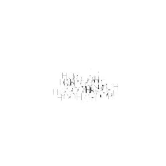 C[C@H](CC[C@@H](O[C@@H]1O[C@H](CO)[C@@H](O[C@H]2O[C@H](CO)[C@@H](O)[C@H](O)[C@H]2O)[C@H](O)[C@H]1O[C@H]1O[C@@H](CO)[C@H](O)[C@@H](O)[C@@H]1O)C(C)(C)O)C1CC[C@@]2(C)C3CC=C4C(CC[C@H](O[C@@H]5O[C@H](CO)[C@@H](O)[C@H](O)[C@H]5O)C4(C)C)[C@]3(C)[C@H](O)C[C@]12C